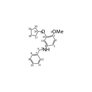 COc1ccc(NCc2ccccc2)cc1OC1CCCC1